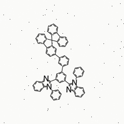 c1ccc(-n2c(-c3cc(-c4cccc(-c5ccc6c(c5)C5(c7ccccc7-c7ccccc75)c5ccccc5-6)c4)cc(-c4nc5ccccc5n4-c4ccccc4)c3)nc3ccccc32)cc1